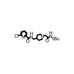 CC(C)(C)NC(=O)CN1CCC(CNC(=O)c2cccc(Cl)n2)CC1